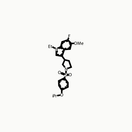 CCn1cc(C2CCN(S(=O)(=O)c3ccc(OC(C)C)cc3)C2)c2cc(OC)c(F)cc21